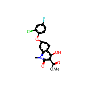 COC(=O)c1c(O)c2ccc(Oc3ccc(F)cc3Cl)cc2n(C)c1=O